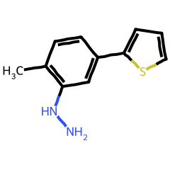 Cc1ccc(-c2cccs2)cc1NN